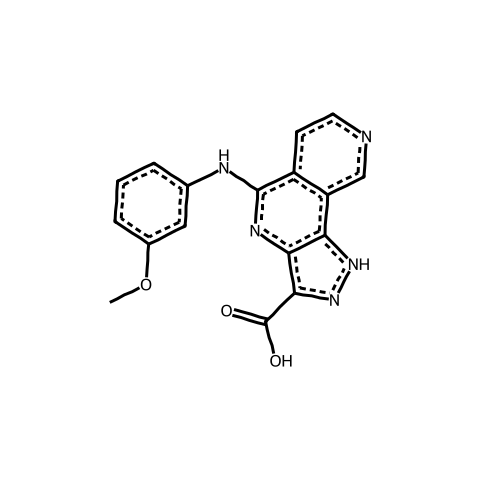 COc1cccc(Nc2nc3c(C(=O)O)n[nH]c3c3cnccc23)c1